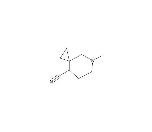 CN1CCC(C#N)C2(CC2)C1